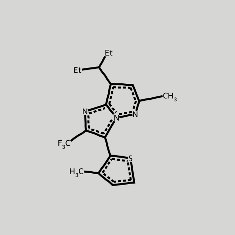 CCC(CC)c1cc(C)nn2c(-c3sccc3C)c(C(F)(F)F)nc12